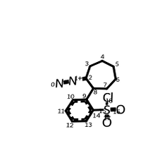 [N-]=[N+]=C1CCCCCC1c1ccccc1S(=O)(=O)Cl